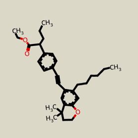 CCCCCCc1cc2c(cc1C#Cc1ccc(C(CCC)C(=O)OCC)cc1)C(C)(C)CCO2